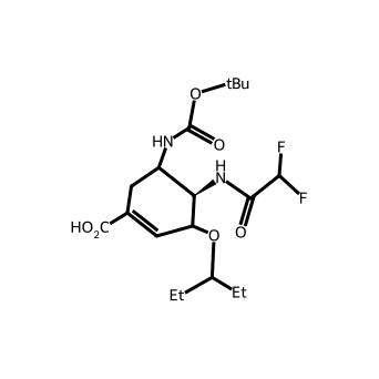 CCC(CC)OC1C=C(C(=O)O)CC(NC(=O)OC(C)(C)C)[C@H]1NC(=O)C(F)F